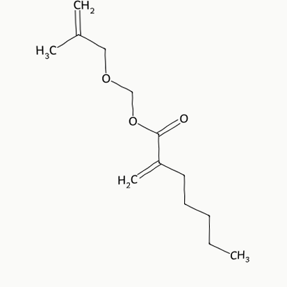 C=C(C)COCOC(=O)C(=C)CCCCC